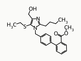 CCCCc1nc(CO)c(SCC)n1Cc1ccc(-c2ccccc2C(=O)OC)cc1